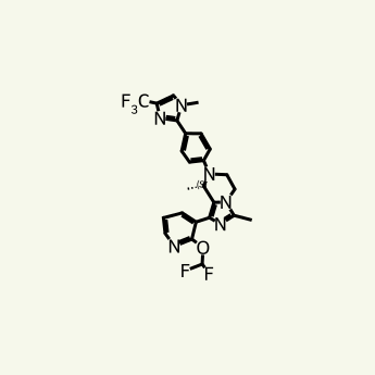 Cc1nc(-c2cccnc2OC(F)F)c2n1CCN(c1ccc(-c3nc(C(F)(F)F)cn3C)cc1)[C@H]2C